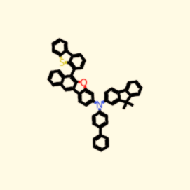 CC1(C)c2ccccc2-c2ccc(N(c3ccc(-c4ccccc4)cc3)c3ccc4c(c3)oc3c(-c5cccc6c5sc5ccccc56)c5ccccc5cc34)cc21